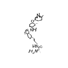 Cc1ccc(Oc2ccc(Nc3ncnc4ccc(/C=C/CNC(=O)[C@H](C)N)cc34)cc2C)cn1